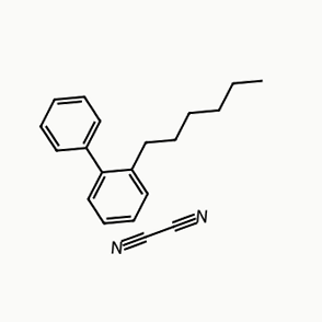 CCCCCCc1ccccc1-c1ccccc1.N#CC#N